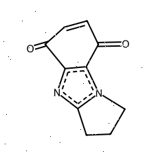 O=C1C=CC(=O)c2c1nc1n2CCC1